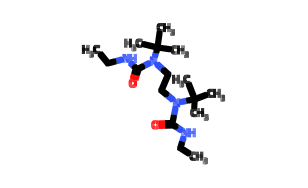 CCNC(=O)N(CCN(C(=O)NCC)C(C)(C)C)C(C)(C)C